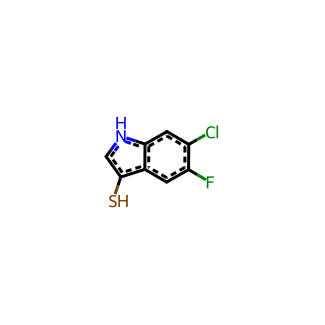 Fc1cc2c(S)c[nH]c2cc1Cl